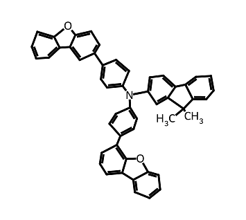 CC1(C)c2ccccc2-c2ccc(N(c3ccc(-c4ccc5oc6ccccc6c5c4)cc3)c3ccc(-c4cccc5c4oc4ccccc45)cc3)cc21